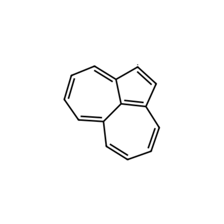 [c]1cc2ccccc3ccccc1c23